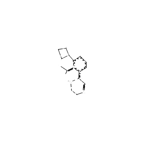 CC/C(C)=c1/c(C2CCC2)ccc/c1=C1\C=NCCN1C